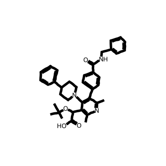 Cc1nc(C)c(C(OC(C)(C)C)C(=O)O)c(N2CCC(c3ccccc3)CC2)c1-c1ccc(C(=O)NCc2ccccc2)cc1